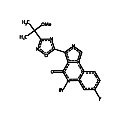 COC(C)(C)c1noc(-c2ncn3c2c(=O)n(C(C)C)c2cc(F)ccc23)n1